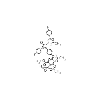 COC(=O)[C@H]1O[C@@H](Oc2ccc([C@@H]3C(CC[C@H](OC(C)=O)c4ccc(F)cc4)C(=O)N3c3ccc(I)cc3)cc2)C(OC(C)=O)[C@@H](OC(C)=O)[C@@H]1OC(C)=O